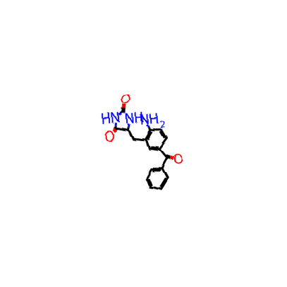 Nc1ccc(C(=O)c2ccccc2)cc1CC1NC(=O)NC1=O